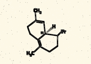 CC1=C[C@@H]2C(=C(C)CCC2C(C)C)CC1